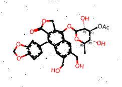 CC(=O)O[C@H]1[C@H](O)[C@@H](C)OC(Oc2c3c(c(-c4ccc5c(c4)OCO5)c4cc(CO)c(CO)cc24)C(=O)OC3)[C@@H]1O